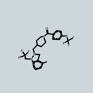 Cc1cccc2c1CN(CC1CCN(C(=O)c3ccc(SC(F)(F)F)cc3)CC1)N2CC(F)(F)F